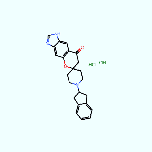 Cl.Cl.O=C1CC2(CCN(C3Cc4ccccc4C3)CC2)Oc2cc3nc[nH]c3cc21